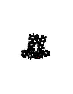 C1=CC2OC3C4=C(CCC=C4)C(C4=CCC(N5C6=C(C=CCC6)C6C=CC=CC65)C=C4)=CC3C2C(C2=CC=C(C3=NC(C4=CCCC=C4)NC(C4=CCCC=C4)=N3)CC2)=C1